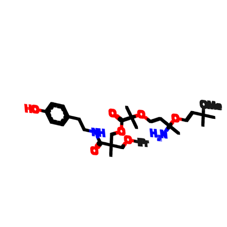 COC(C)(C)CCOC(C)(N)CCOC(C)(C)C(=O)OCC(C)(COC(C)C)C(=O)NCCc1ccc(O)cc1